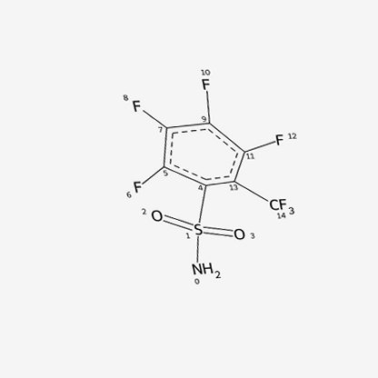 NS(=O)(=O)c1c(F)c(F)c(F)c(F)c1C(F)(F)F